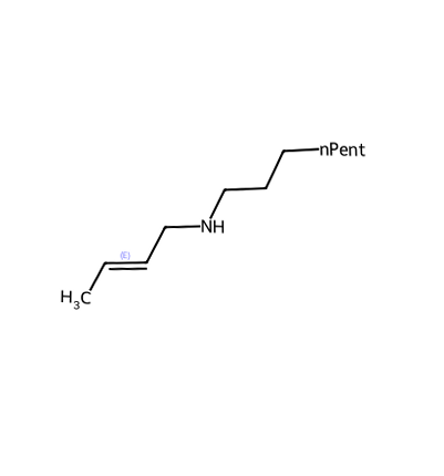 C/C=C/CNCCCCCCCC